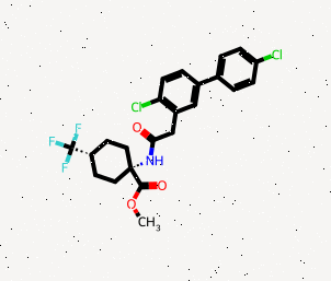 COC(=O)[C@]1(NC(=O)Cc2cc(-c3ccc(Cl)cc3)ccc2Cl)CC[C@@H](C(F)(F)F)CC1